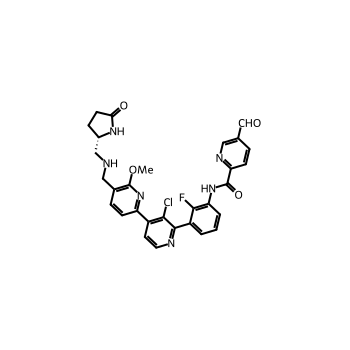 COc1nc(-c2ccnc(-c3cccc(NC(=O)c4ccc(C=O)cn4)c3F)c2Cl)ccc1CNC[C@@H]1CCC(=O)N1